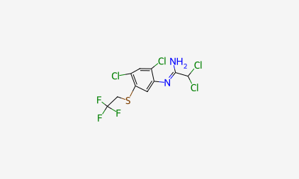 N/C(=N\c1cc(SCC(F)(F)F)c(Cl)cc1Cl)C(Cl)Cl